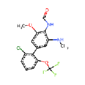 CNc1cc(-c2c(Cl)cccc2OC(F)(F)F)cc(OC)c1NC=O